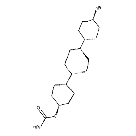 CCCC(=O)O[C@H]1CC[C@H]([C@H]2CC[C@H]([C@H]3CC[C@H](CCC)CC3)CC2)CC1